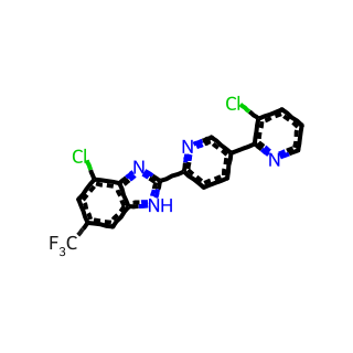 FC(F)(F)c1cc(Cl)c2nc(-c3ccc(-c4ncccc4Cl)cn3)[nH]c2c1